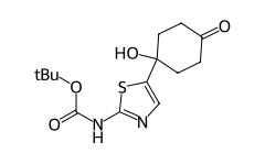 CC(C)(C)OC(=O)Nc1ncc(C2(O)CCC(=O)CC2)s1